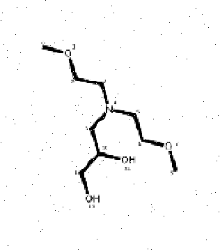 COCCN(CCOC)CC(O)CO